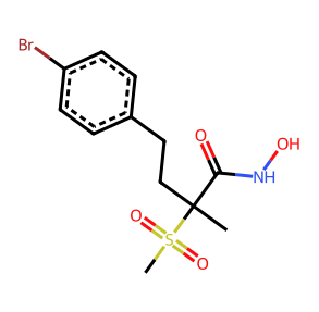 CC(CCc1ccc(Br)cc1)(C(=O)NO)S(C)(=O)=O